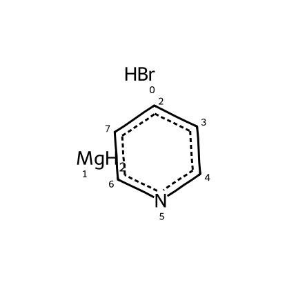 Br.[MgH2].c1ccncc1